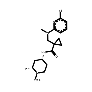 C[C@@H]1C[C@H](NC(=O)C2(CN(C)c3cccc(Cl)n3)CC2)CCN1C(=O)O